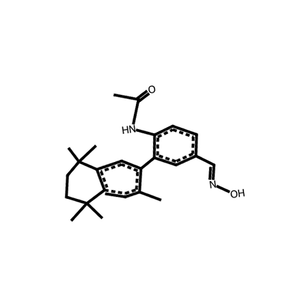 CC(=O)Nc1ccc(C=NO)cc1-c1cc2c(cc1C)C(C)(C)CCC2(C)C